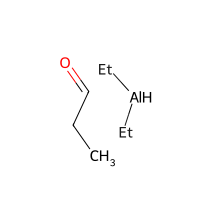 CCC=O.C[CH2][AlH][CH2]C